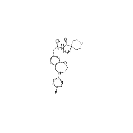 N#C[C@H](Cc1ccc2c(c1)OCCN(c1ccc(F)cc1)C2)NC(=O)C1(N)CCOCC1